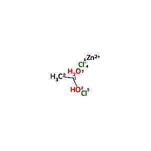 CCO.O.[Cl-].[Cl-].[Zn+2]